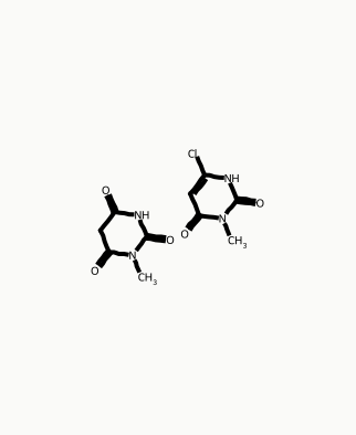 CN1C(=O)CC(=O)NC1=O.Cn1c(=O)cc(Cl)[nH]c1=O